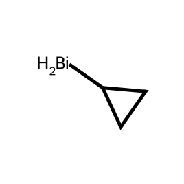 [BiH2][CH]1CC1